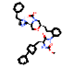 COC(=O)N[C@@H](Cc1ccc(-c2ccccc2)cc1)C(=O)Nc1ccccc1CC[C@@H]1CN(C(=O)O)[C@H](c2ncc(Cc3ccccc3)[nH]2)CO1